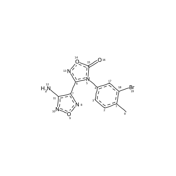 Cc1ccc(-n2c(-c3nonc3N)noc2=O)cc1Br